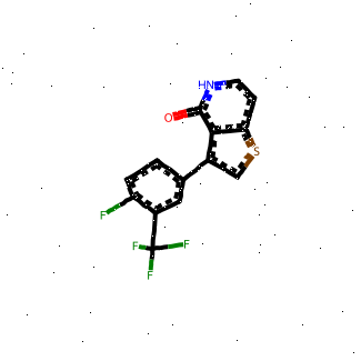 O=c1[nH]ccc2scc(-c3ccc(F)c(C(F)(F)F)c3)c12